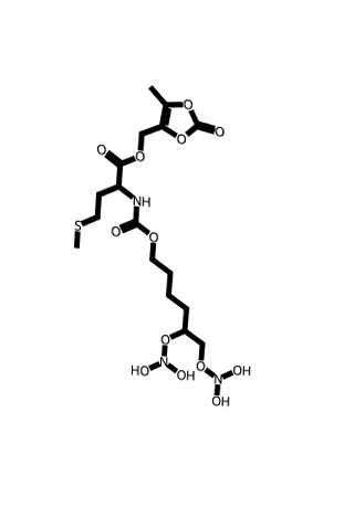 CSCCC(NC(=O)OCCCCC(CON(O)O)ON(O)O)C(=O)OCc1oc(=O)oc1C